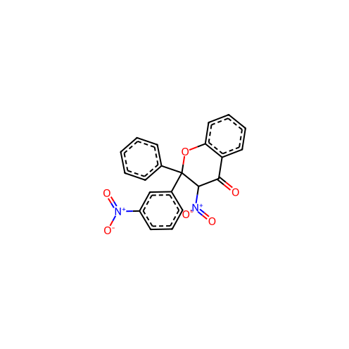 O=C1c2ccccc2OC(c2ccccc2)(c2cccc([N+](=O)[O-])c2)C1[N+](=O)[O-]